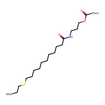 CCCCCC(=O)OCCCNC(=O)CCCCCCCCCCSCCOC